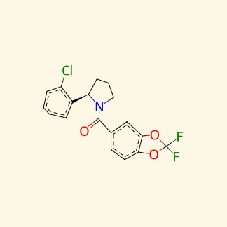 O=C(c1ccc2c(c1)OC(F)(F)O2)N1CCC[C@@H]1c1ccccc1Cl